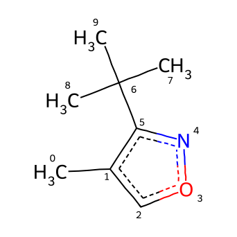 Cc1conc1C(C)(C)C